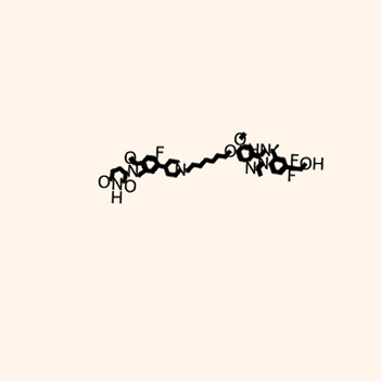 COc1cc2c(N[C@@H](C)c3cccc(C(F)(F)CO)c3)nc(C)nc2cc1OCCCCCCCN1CCC(c2cc3c(cc2F)C(=O)N(C2CCC(=O)NC2=O)C3)CC1